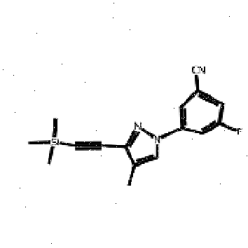 Cc1cn(-c2cc(F)cc(C#N)c2)nc1C#C[Si](C)(C)C